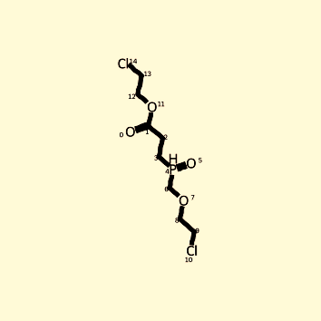 O=C(CC[PH](=O)COCCCl)OCCCl